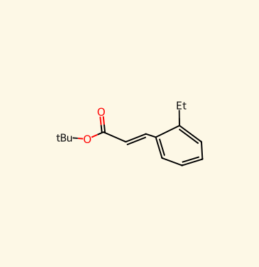 CCc1ccccc1/C=C/C(=O)OC(C)(C)C